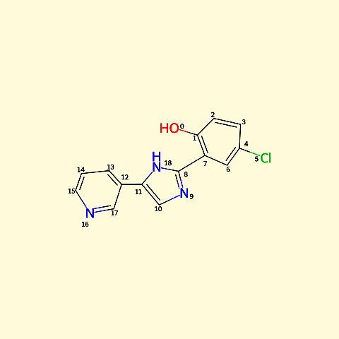 Oc1ccc(Cl)cc1-c1ncc(-c2cccnc2)[nH]1